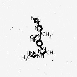 Cc1cc(Nc2cc(C)[nH]n2)nc(C2CCC3(CC2)CN([C@@H](C)c2ccc(-n4cc(F)cn4)nc2)CC(=O)N3)n1